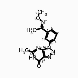 CO/N=C(\C)c1cccc(-n2nnc3c(=O)[nH]c(C)nc32)c1